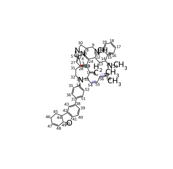 C=C1C=C(c2cn3n2C(CN(C)C(CC(c2ccccc2)N(C)C)c2ccccc2)C3)CCN(c2ccc(-c3ccc4c(c3)C3CCC=CC3O4)cc2)C1/C=C\C=C/C